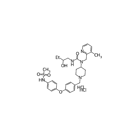 CCC(O)CNC(=O)N(Cc1ncccc1C)C1CCN(Cc2ccc(Oc3ccc(NS(C)(=O)=O)cc3)cc2)CC1.Cl.Cl